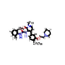 CCCCn1ccc(-c2ccc(OC)c(OCCN3CCCCC3)c2)c(NC(=O)Nc2c(C(C)C)cccc2C(C)C)c1=O